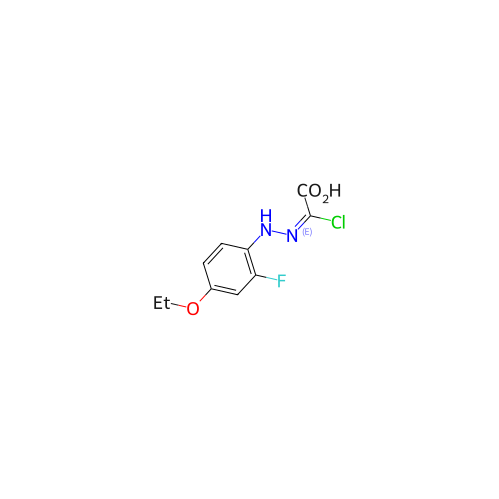 CCOc1ccc(N/N=C(/Cl)C(=O)O)c(F)c1